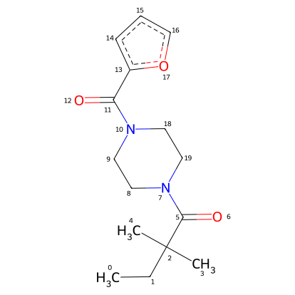 CCC(C)(C)C(=O)N1CCN(C(=O)c2ccco2)CC1